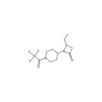 CCC1CC(=O)N1C1CCN(C(=O)C(F)(F)F)CC1